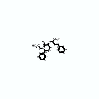 O=C(O)CN1C(=O)C(NC(CCc2ccccc2)C(=O)O)CSC1c1ccccc1